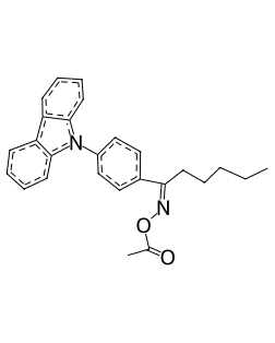 CCCCC/C(=N/OC(C)=O)c1ccc(-n2c3ccccc3c3ccccc32)cc1